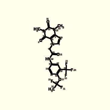 Cn1c(=O)c2c(ncn2CC(=O)Nc2ccc(OC(C)(F)F)c(C(F)(F)F)c2)n(C)c1=O